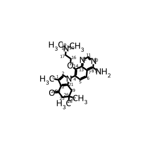 Cc1cn(-c2ccc3c(N)ncnc3c2OCCN(C)C)c2c1C(=O)CC(C)(C)C2